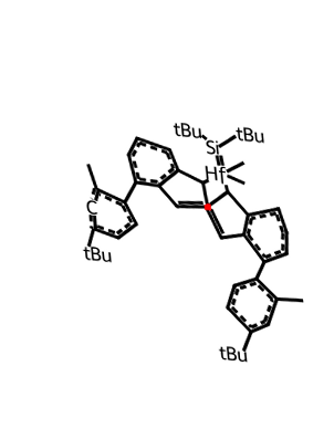 Cc1cc(C(C)(C)C)ccc1-c1cccc2c1C=C[CH]2[Hf]([CH3])([CH3])([CH]1C=Cc2c(-c3ccc(C(C)(C)C)cc3C)cccc21)=[Si](C(C)(C)C)C(C)(C)C